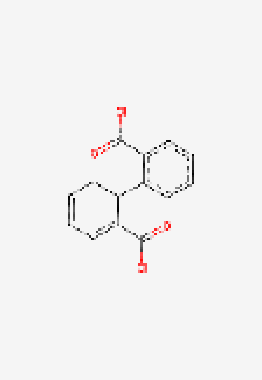 O=C(O)C1=CC=CCC1c1ccccc1C(=O)O